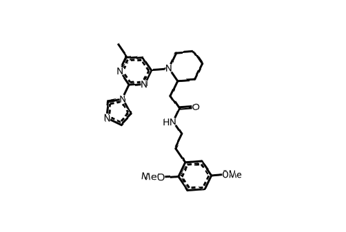 COc1ccc(OC)c(CCNC(=O)CC2CCCCN2c2cc(C)nc(-n3ccnc3)n2)c1